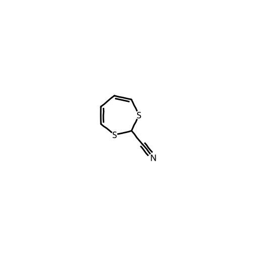 N#CC1SC=CC=CS1